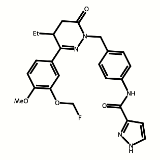 CCC1CC(=O)N(Cc2ccc(NC(=O)c3cc[nH]n3)cc2)N=C1c1ccc(OC)c(OCF)c1